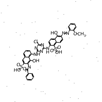 COc1ccccc1/N=N/c1ccc2c(S(=O)(=O)O)c(Nc3nc(Cl)nc(Nc4cccc5cc(S(=O)(=O)O)c(/N=N/c6ccccc6)c(O)c45)n3)ccc2c1O